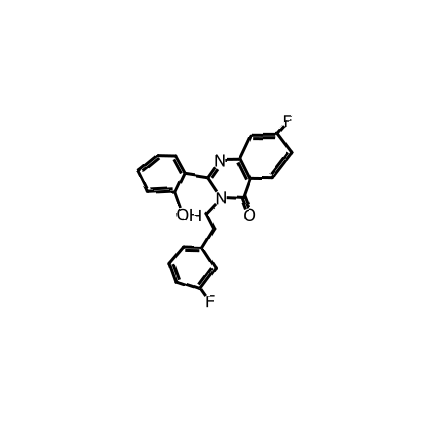 O=c1c2ccc(F)cc2nc(-c2ccccc2O)n1CCc1cccc(F)c1